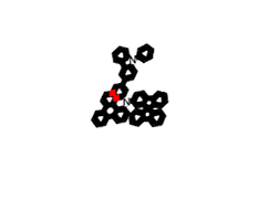 c1ccc(-n2c3ccccc3c3cc(-c4cccc(N(c5ccc6c(c5)C5(c7ccccc7-c7ccccc75)c5ccccc5-6)c5cccc6c7ccccc7c7ccccc7c56)c4)ccc32)cc1